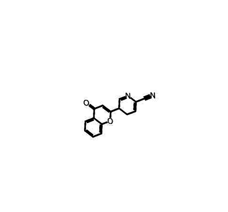 N#CC1=CCC(c2cc(=O)c3ccccc3o2)C=N1